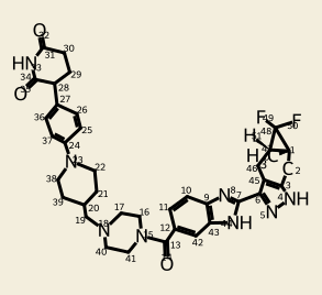 C[C@@]12Cc3[nH]nc(-c4nc5ccc(C(=O)N6CCN(CC7CCN(c8ccc(C9CCC(=O)NC9=O)cc8)CC7)CC6)cc5[nH]4)c3C[C@@H]1C2(F)F